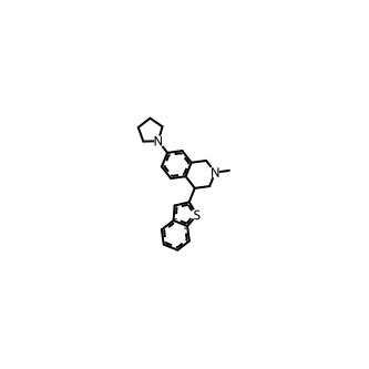 CN1Cc2cc(N3CCCC3)ccc2C(c2cc3ccccc3s2)C1